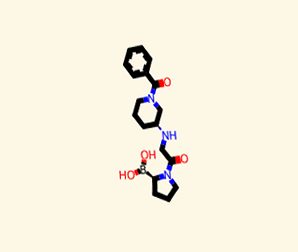 O=C(c1ccccc1)N1CCC[C@@H](NCC(=O)N2CCC[C@H]2B(O)O)C1